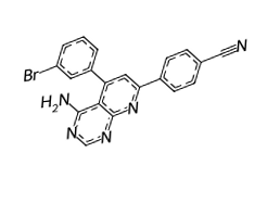 N#Cc1ccc(-c2cc(-c3cccc(Br)c3)c3c(N)ncnc3n2)cc1